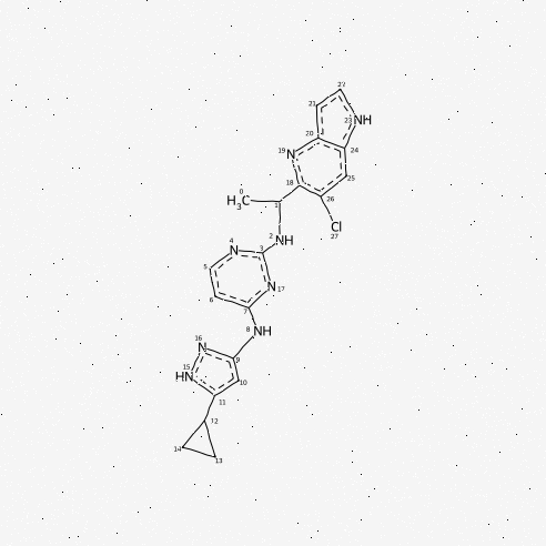 CC(Nc1nccc(Nc2cc(C3CC3)[nH]n2)n1)c1nc2cc[nH]c2cc1Cl